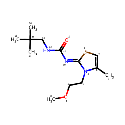 COCCn1c(C)csc1=NC(=O)NCC(C)(C)C